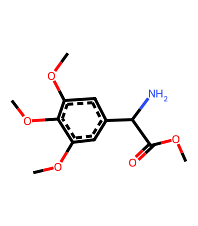 COC(=O)C(N)c1cc(OC)c(OC)c(OC)c1